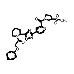 CS(=O)(=O)C1CCN(C(=O)c2cc(-c3noc(C4CCCCN4C(=O)COc4ccccc4)n3)ccn2)C1